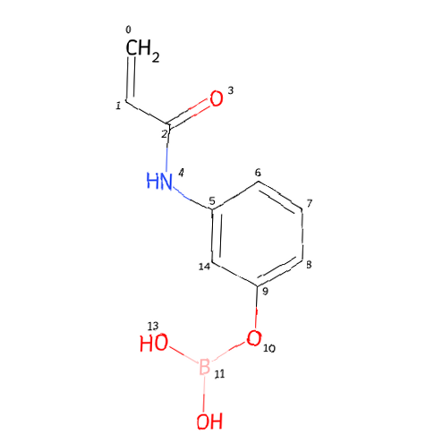 C=CC(=O)Nc1cccc(OB(O)O)c1